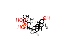 CCCC1O[C@@H](C)[C@H](O)[C@@H]1O[P@](=O)(O)OCCCC(C)[C@H]1CC[C@H]2[C@@H]3CCC4C[C@H](O)CC[C@]4(C)[C@H]3CC[C@]12C